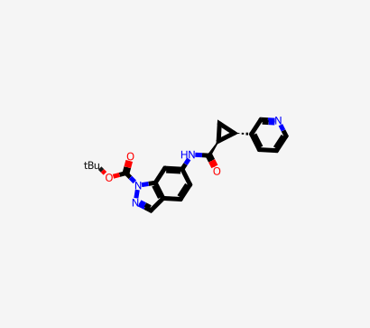 CC(C)(C)OC(=O)n1ncc2ccc(NC(=O)[C@H]3C[C@@H]3c3cccnc3)cc21